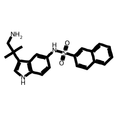 CC(C)(CN)c1c[nH]c2ccc(NS(=O)(=O)c3ccc4ccccc4c3)cc12